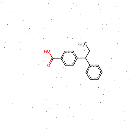 CC[C](c1ccccc1)c1ccc(C(=O)O)cc1